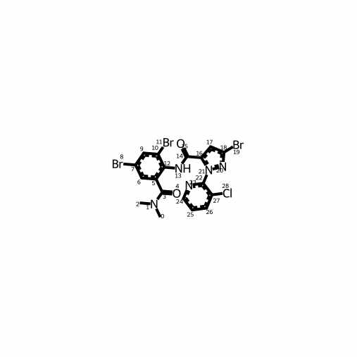 CN(C)C(=O)c1cc(Br)cc(Br)c1NC(=O)c1cc(Br)nn1-c1ncccc1Cl